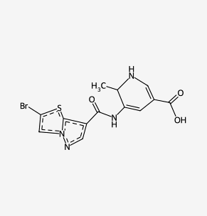 CC1NC=C(C(=O)O)C=C1NC(=O)c1cnn2cc(Br)sc12